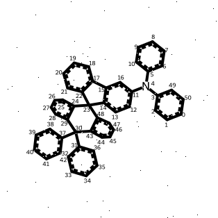 c1ccc(N(c2ccccc2)c2ccc3c(c2)-c2ccccc2C32c3ccccc3C(c3ccccc3)(c3ccccc3)c3ccccc32)cc1